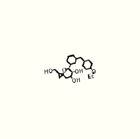 CCOC1CCC(CC2CCCC([C@@H]3OC4(CC4CO)C[C@H](O)[C@H]3O)C2)CC1